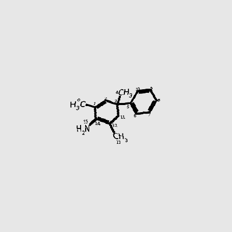 CC1=CC(C)(c2ccccc2)CC(C)=C1N